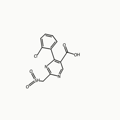 O=C(O)c1cnc(C[SH](=O)=O)nc1-c1ccccc1Cl